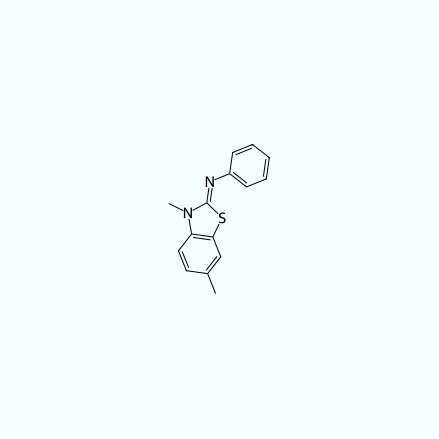 Cc1ccc2c(c1)s/c(=N\c1ccccc1)n2C